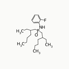 CCCCC(CC)CP(=O)(CC(CC)CCCC)Nc1ccccc1F